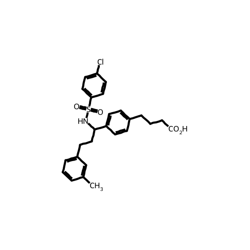 Cc1cccc(CCC(NS(=O)(=O)c2ccc(Cl)cc2)c2ccc(CCCC(=O)O)cc2)c1